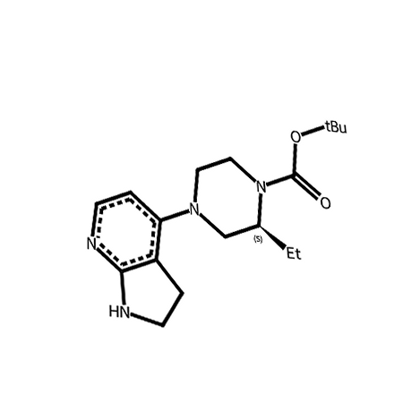 CC[C@H]1CN(c2ccnc3c2CCN3)CCN1C(=O)OC(C)(C)C